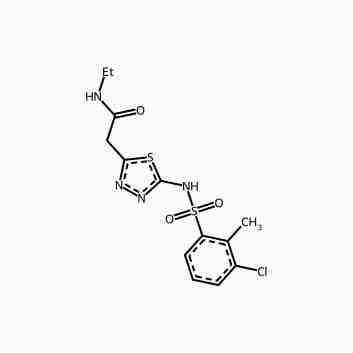 CCNC(=O)Cc1nnc(NS(=O)(=O)c2cccc(Cl)c2C)s1